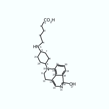 O=C(O)CCCCNC1CCC(N2CCc3cnc(O)c4cccc2c34)CC1